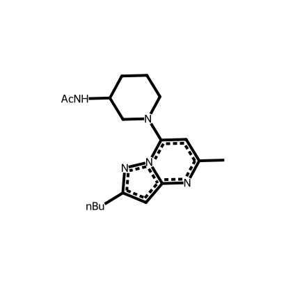 CCCCc1cc2nc(C)cc(N3CCCC(NC(C)=O)C3)n2n1